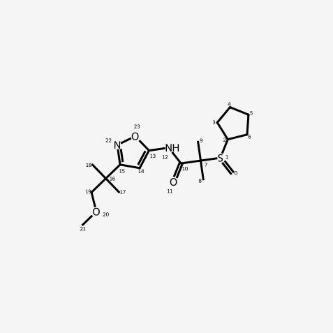 C=S(C1CCCC1)C(C)(C)C(=O)Nc1cc(C(C)(C)COC)no1